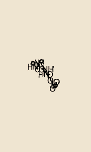 O=C(CCOCCN1C(=O)C=CC1=O)NCCNC(=O)COc1ccccc1C1=Nc2ccccc2NC(=O)C1